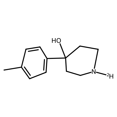 [2H]N1CCC(O)(c2ccc(C)cc2)CC1